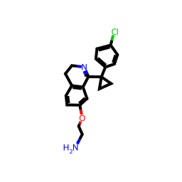 NCCOc1ccc2c(c1)C(C1(c3ccc(Cl)cc3)CC1)=NCC2